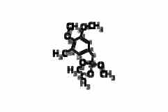 COc1cc(C[Si](OC)(OC)OC)cc(C)c1OC